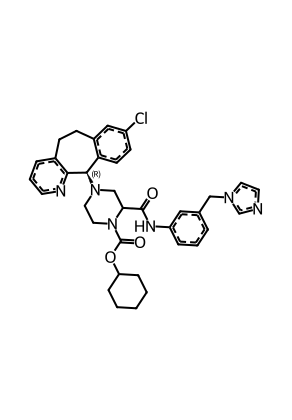 O=C(Nc1cccc(Cn2ccnc2)c1)C1CN([C@@H]2c3ccc(Cl)cc3CCc3cccnc32)CCN1C(=O)OC1CCCCC1